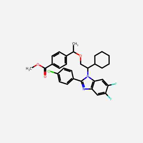 COC(=O)c1ccc(C(C)OCC(C2CCCCC2)n2c(-c3ccc(Cl)cc3)nc3cc(F)c(F)cc32)cc1